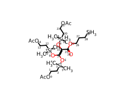 CC(=O)OCC[Si](C)(C)OC(O[Si](C)(C)CCOC(C)=O)=C(O[Si](C)(C)CCOC(C)=O)C(=O)OCCC[SiH3]